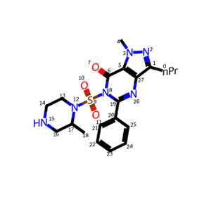 CCCc1nn(C)c2c(=O)n(S(=O)(=O)N3CCNCC3C)c(-c3ccccc3)nc12